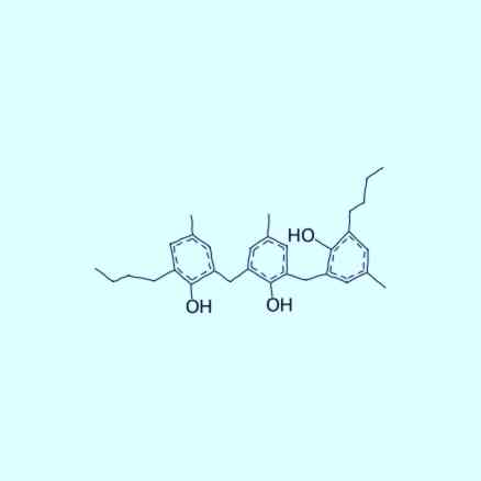 CCCCc1cc(C)cc(Cc2cc(C)cc(Cc3cc(C)cc(CCCC)c3O)c2O)c1O